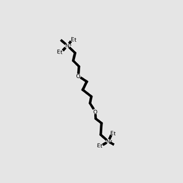 CC[N+](C)(CC)CCCOCCCCOCCC[N+](C)(CC)CC